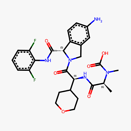 C[C@@H](C(=O)N[C@H](C(=O)N1Cc2cc(N)ccc2[C@H]1C(=O)Nc1c(F)cccc1F)C1CCOCC1)N(C)C(=O)O